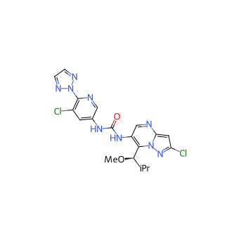 CO[C@@H](c1c(NC(=O)Nc2cnc(-n3nccn3)c(Cl)c2)cnc2cc(Cl)nn12)C(C)C